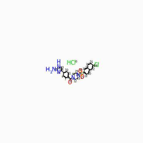 Cl.Nc1nc(-c2ccc(C(=O)N3CCN(S(=O)(=O)c4ccc5cc(Cl)ccc5c4)CC3)cc2)c[nH]1